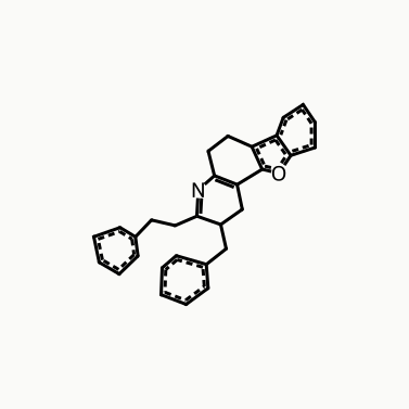 c1ccc(CCC2=NC3=C(CC2Cc2ccccc2)c2oc4ccccc4c2CC3)cc1